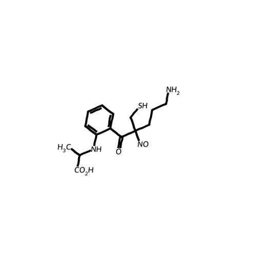 CC(Nc1ccccc1C(=O)C(CS)(CCCN)N=O)C(=O)O